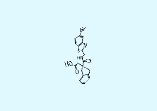 O=C(O)CC1(C(=O)NCc2nc3cc(Br)ccc3s2)Cc2ccccc2C1